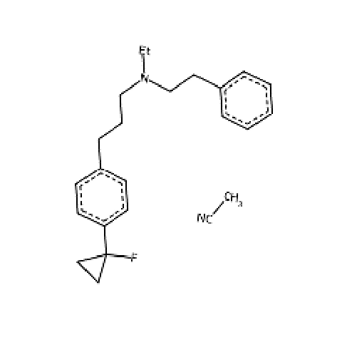 CC#N.CCN(CCCc1ccc(C2(F)CC2)cc1)CCc1ccccc1